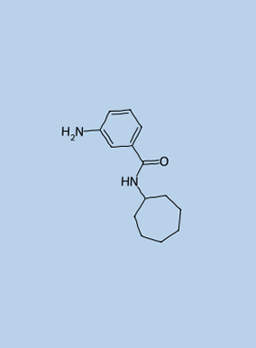 Nc1cccc(C(=O)NC2CCCCCC2)c1